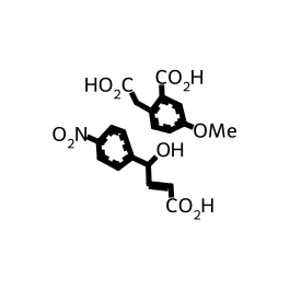 COc1ccc(CC(=O)O)c(C(=O)O)c1.O=C(O)C=CC(O)c1ccc([N+](=O)[O-])cc1